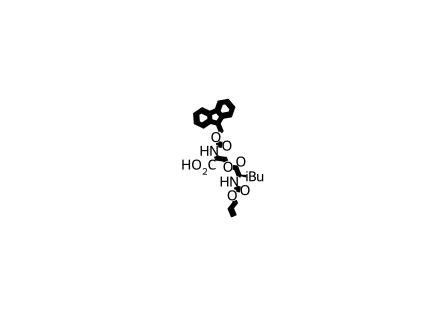 C=CCOC(=O)N[C@@H](C(=O)OC[C@@H](NC(=O)OCC1c2ccccc2-c2ccccc21)C(=O)O)C(C)CC